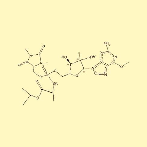 COc1nc(N)nc2c1ncn2[C@@H]1OC(COP(=O)(NC(C)C(=O)OC(C)C)SCC2C(=O)N(C)C(=O)N2C)[C@@H](O)[C@@]1(C)O